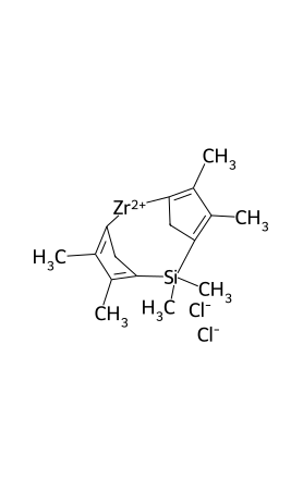 CC1=[C]2CC(=C1C)[Si](C)(C)C1=C(C)C(C)=[C](C1)[Zr+2]2.[Cl-].[Cl-]